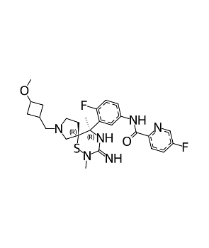 COC1CC(CN2CC[C@]3(C2)SN(C)C(=N)N[C@]3(C)c2cc(NC(=O)c3ccc(F)cn3)ccc2F)C1